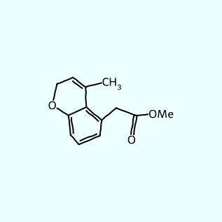 COC(=O)Cc1cccc2c1C(C)=CCO2